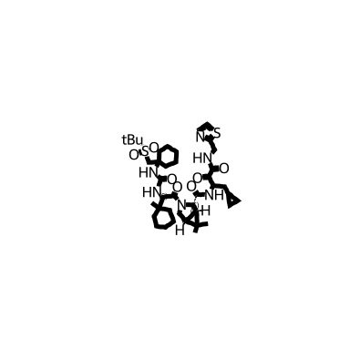 CC1([C@H](NC(=O)NC2(CS(=O)(=O)C(C)(C)C)CCCCC2)C(=O)N2C[C@H]3[C@@H]([C@H]2C(=O)NC(CC2CC2)C(=O)C(=O)NCc2nccs2)C3(C)C)CCCCC1